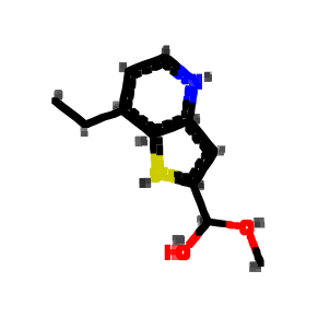 CCc1ccnc2cc(C(O)OC)sc12